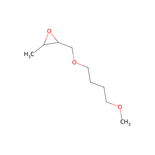 COCCCCOCC1OC1C